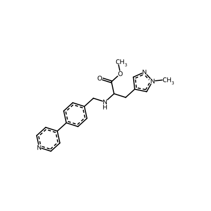 COC(=O)C(Cc1cnn(C)c1)NCc1ccc(-c2ccncc2)cc1